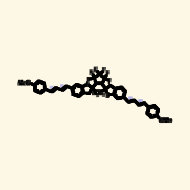 COc1ccc(/C=C/C=C/c2ccc3c(c2)SC(C)(C2=C(C4(C)Cc5ccc(/C=C/C=C/c6ccc(OC)cc6)cc5S4)C(F)(F)C(F)(F)C2(F)F)C3)cc1